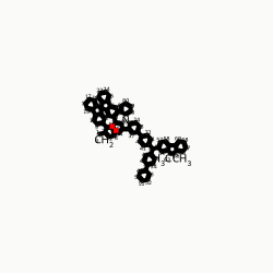 C=Cc1ccccc1-c1ccc2c(c1)C1(c3ccccc3-2)c2ccccc2-c2ccc(-c3cccc4c5cc(-c6ccc(C(c7ccc(-c8ccccc8)cc7)c7ccc8c(c7)C(C)(C)c7ccccc7-8)cc6)ccc5n(-c5ccccc5)c34)cc21